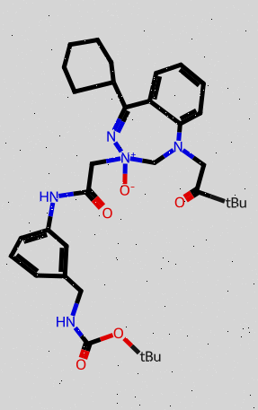 CC(C)(C)OC(=O)NCc1cccc(NC(=O)C[N+]2([O-])CN(CC(=O)C(C)(C)C)c3ccccc3C(C3CCCCC3)=N2)c1